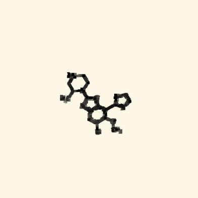 COc1c(Cl)cc2nc(N3CCNCC3C)oc2c1-c1nccs1